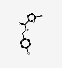 O=C(NCc1ccc(Cl)cc1)c1ccc(Br)o1